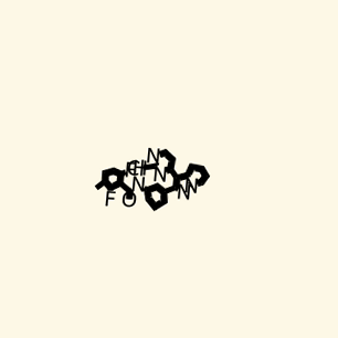 Cc1ccc(F)c(C(=O)Nc2cccc(-c3nn4ccccc4c3-c3ccnc(Cl)n3)c2)c1F